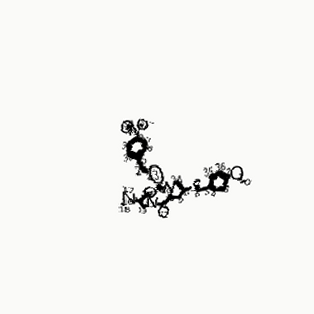 COc1ccc(CSC2CC(C(=O)N3CC(N(C)C)C3)N(C(=O)OCc3ccc([N+](=O)[O-])cc3)C2)cc1